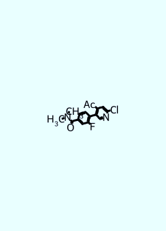 CC(=O)c1cc(Cl)ncc1-c1ccc(C(=O)N(C)C)cc1F